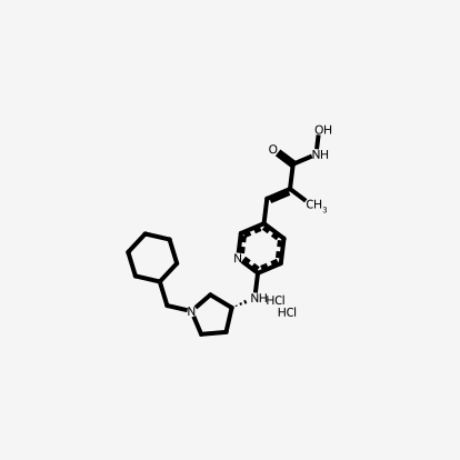 C/C(=C\c1ccc(N[C@@H]2CCN(CC3CCCCC3)C2)nc1)C(=O)NO.Cl.Cl